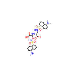 CN(C)c1cccc2c(S(=O)(=O)NCC(NC(CNS(=O)(=O)c3cccc4c(N(C)C)cccc34)C(=O)O)C(=O)O)cccc12